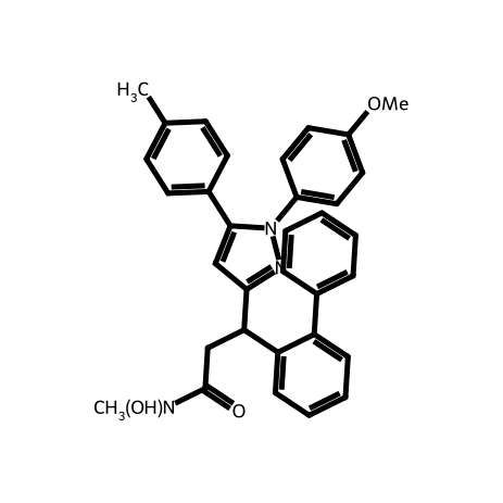 COc1ccc(-n2nc(C(CC(=O)N(C)O)c3ccccc3-c3ccccc3)cc2-c2ccc(C)cc2)cc1